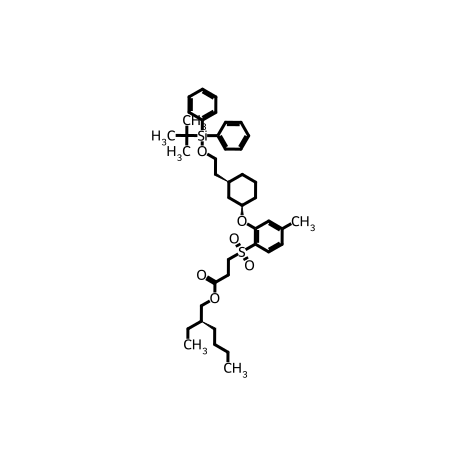 CCCC[C@@H](CC)COC(=O)CCS(=O)(=O)c1ccc(C)cc1O[C@@H]1CCC[C@H](CCO[Si](c2ccccc2)(c2ccccc2)C(C)(C)C)C1